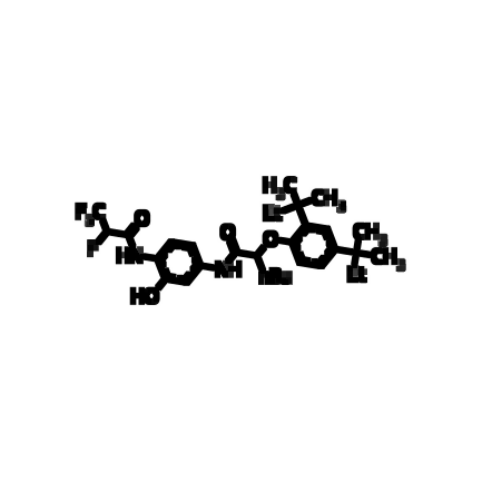 CCCCC(Oc1ccc(C(C)(C)CC)cc1C(C)(C)CC)C(=O)Nc1ccc(NC(=O)C(F)C(F)(F)F)c(O)c1